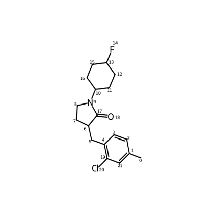 Cc1ccc(CC2CCN(C3CCC(F)CC3)C2=O)c(Cl)c1